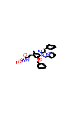 Cc1c(/C=C/C(=O)NO)cc(OCc2ccccc2)c2c1nc(CCc1ccccc1)n2Cc1ccccn1